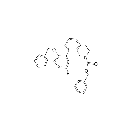 O=C(OCc1ccccc1)N1CCc2cccc(-c3cc(F)ccc3OCc3ccccc3)c2C1